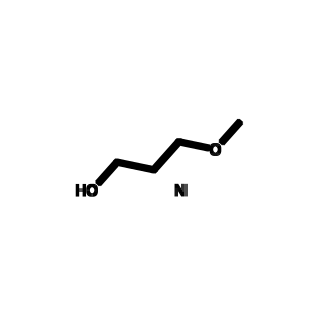 COCCCO.[Ni]